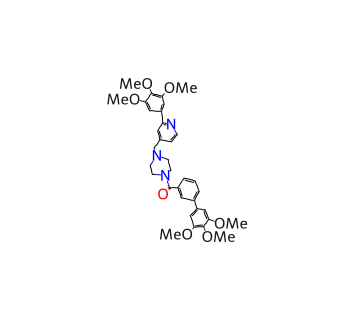 COc1cc(-c2cccc(C(=O)N3CCN(Cc4ccnc(-c5cc(OC)c(OC)c(OC)c5)c4)CC3)c2)cc(OC)c1OC